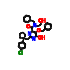 O=C(c1nc(CC2(c3ccc(Cl)cc3)CCCC2)nc(O)c1OCc1ccccc1)N(CCO)Cc1ccccc1